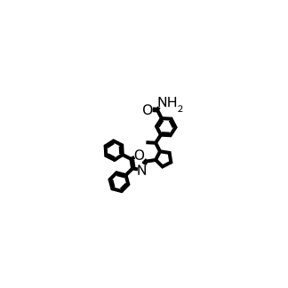 CC(c1cccc(C(N)=O)c1)C1CCCC1c1nc(-c2ccccc2)c(-c2ccccc2)o1